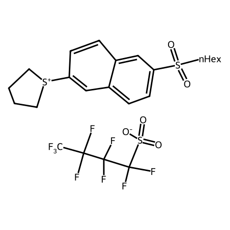 CCCCCCS(=O)(=O)c1ccc2cc([S+]3CCCC3)ccc2c1.O=S(=O)([O-])C(F)(F)C(F)(F)C(F)(F)C(F)(F)F